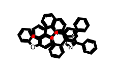 c1ccc(-c2nnc(-c3cccc4c5ccccc5n(-c5ccccc5-c5ccccc5-n5c6ccccc6c6c7c(ccc65)oc5ccccc57)c34)n2-c2ccccc2)cc1